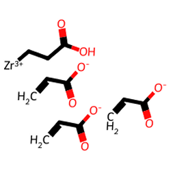 C=CC(=O)[O-].C=CC(=O)[O-].C=CC(=O)[O-].O=C(O)C[CH2][Zr+3]